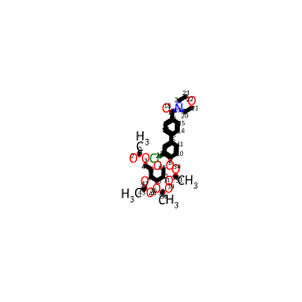 CC(=O)OCC1O[C@H](Oc2ccc(-c3ccc(C(=O)N4CCOCC4)cc3)cc2Cl)[C@H](OC(C)=O)C(OC(C)=O)[C@@H]1OC(C)=O